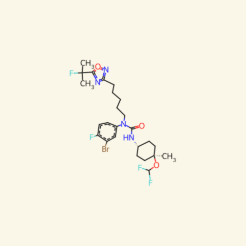 CC(C)(F)c1nc(CCCCCN(C(=O)N[C@H]2CC[C@](C)(OC(F)F)CC2)c2ccc(F)c(Br)c2)no1